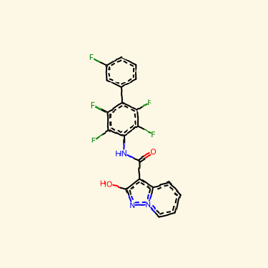 O=C(Nc1c(F)c(F)c(-c2cccc(F)c2)c(F)c1F)c1c(O)nn2ccccc12